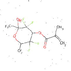 C=C(C)C(=O)OC1C(F)(F)C(C(F)(F)F)OC(O)(C(F)(F)F)C1(F)F